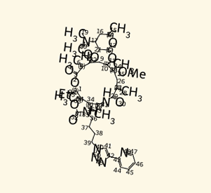 CC[C@H]1OC(=O)[C@H](C)C(=O)C[C@@H](O[C@@H]2O[C@H](C)CC(N(C)C)C2O)[C@](C)(OC)C[C@@H](C)C(=O)N[C@H](C)[C@H]2N(CCCCn3cc(-c4ccccn4)nn3)C(=O)O[C@]12C